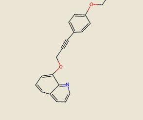 CCOc1ccc(C#CCOc2cccc3cccnc23)cc1